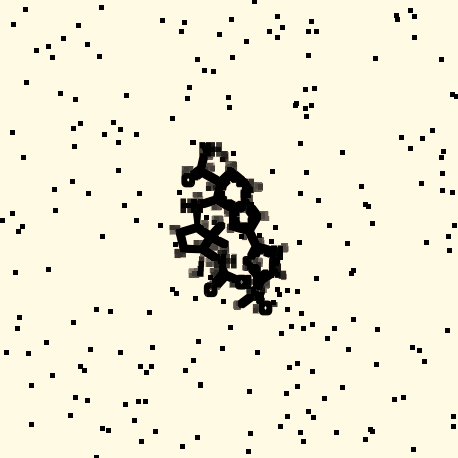 C[S+]([O-])c1nnc(-c2cc3c(N[C@@H]4CC[C@](C)(NC(=O)O)C4(C)C)c(C(N)=O)cnn3c2)s1